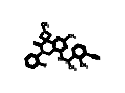 Cc1nc(N[C@H](C)c2cccc(C#N)c2C)c2c(n1)C1(CN(C)C1)C(=O)N(c1ccccc1F)C2